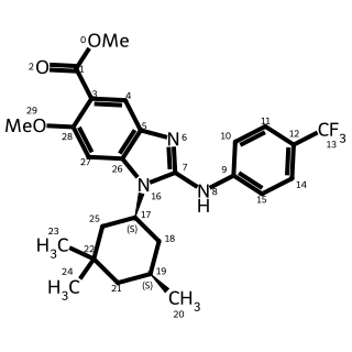 COC(=O)c1cc2nc(Nc3ccc(C(F)(F)F)cc3)n([C@H]3C[C@@H](C)CC(C)(C)C3)c2cc1OC